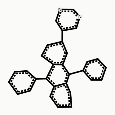 c1ccc(-c2c3ccccc3c(-c3ccccc3)c3cc(-c4cncnc4)ccc23)cc1